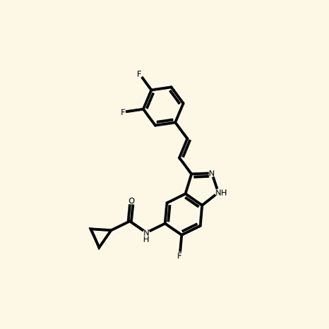 O=C(Nc1cc2c(/C=C/c3ccc(F)c(F)c3)n[nH]c2cc1F)C1CC1